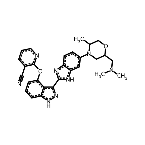 CC1COC(CN(C)C)CN1c1ccc2nc(-c3n[nH]c4cccc(Oc5ncccc5C#N)c34)[nH]c2c1